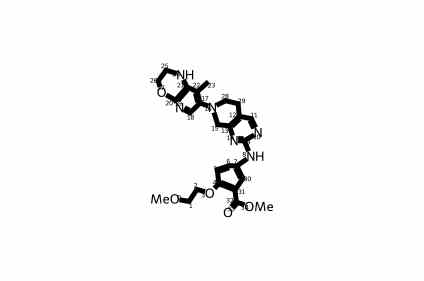 COCCOc1ccc(Nc2ncc3c(n2)CN(c2cnc4c(c2C)NCCO4)CC3)cc1C(=O)OC